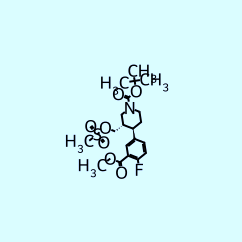 COC(=O)c1cc([C@@H]2CCN(C(=O)OC(C)(C)C)C[C@H]2COS(C)(=O)=O)ccc1F